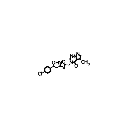 Cc1cnn2ncn(Cc3nc(CC(O)c4ccc(Cl)cc4)no3)c(=O)c12